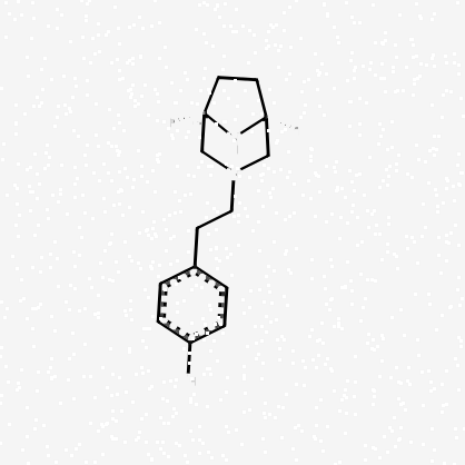 Oc1ccc(CCN2C[C@H]3CC[C@@H](C2)N3)cc1